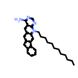 CCCCCCCCCCCCn1c2cc3c(cc4ccccc43)cc2cc2c(N)ncnc21